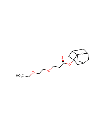 O=C(O)COCCOCCC(=O)OC12CC3CC4CC(C1)C2(C4)C3